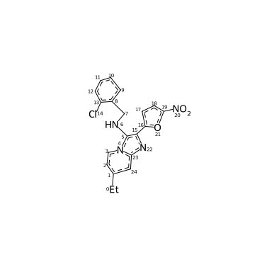 CCc1ccn2c(NCc3ccccc3Cl)c(-c3ccc([N+](=O)[O-])o3)nc2c1